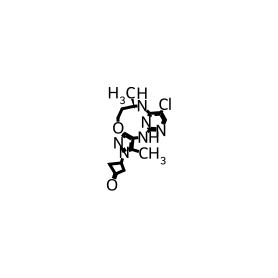 Cc1c2c(nn1C1CC(=O)C1)OCC[C@@H](C)Nc1nc(ncc1Cl)N2